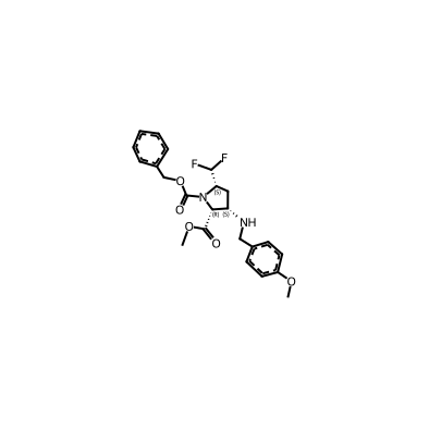 COC(=O)[C@H]1[C@@H](NCc2ccc(OC)cc2)C[C@@H](C(F)F)N1C(=O)OCc1ccccc1